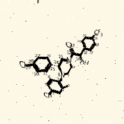 Cc1cc(Cl)ccc1N1CCN(C(=O)C(O)c2ccc(C(F)(F)F)cc2)C[C@H]1c1ccc(Cl)cc1